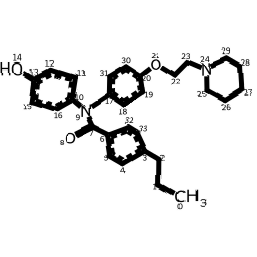 CCCc1ccc(C(=O)N(c2ccc(O)cc2)c2ccc(OCCN3CCCCC3)cc2)cc1